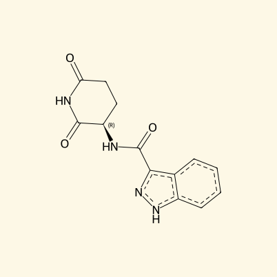 O=C1CC[C@@H](NC(=O)c2n[nH]c3ccccc23)C(=O)N1